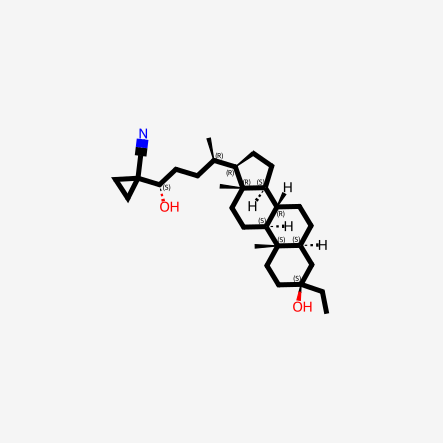 CC[C@]1(O)CC[C@@]2(C)[C@@H](CC[C@@H]3[C@@H]2CC[C@]2(C)[C@@H]([C@H](C)CC[C@H](O)C4(C#N)CC4)CC[C@@H]32)C1